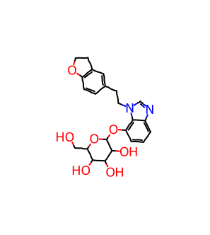 OCC1OC(Oc2cccc3ncn(CCc4ccc5c(c4)CCO5)c23)C(O)C(O)C1O